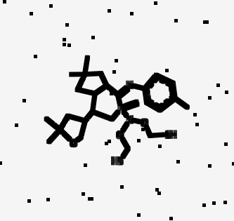 C=P1(N(OCS)OCS)CC(C2COC(C)(C)C2)C2CC(C)(C)CC2C1=Nc1ccc(C)cc1